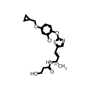 C[C@@H](/C=C/c1cnc(Oc2ccc(OCC3CC3)cc2Cl)s1)NC(=O)CCO